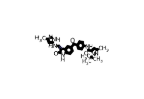 Cc1cc(N/C=C2\C(=O)Nc3ccc(C(=O)c4ccc(NC(=O)c5cc(C)nn5C(C)(C)C)cc4)cc32)[nH]n1